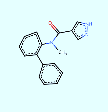 CN(C(=O)c1cn[nH]c1)c1ccccc1-c1ccccc1